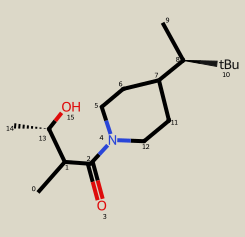 CC(C(=O)N1CCC([C@@H](C)C(C)(C)C)CC1)[C@H](C)O